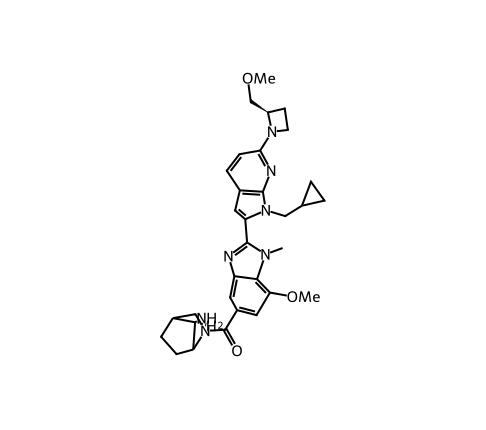 COC[C@H]1CCN1c1ccc2cc(-c3nc4cc(C(=O)N5CC6CCC5[C@@H]6N)cc(OC)c4n3C)n(CC3CC3)c2n1